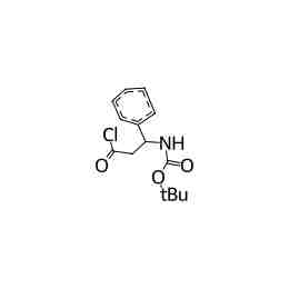 CC(C)(C)OC(=O)NC(CC(=O)Cl)c1ccccc1